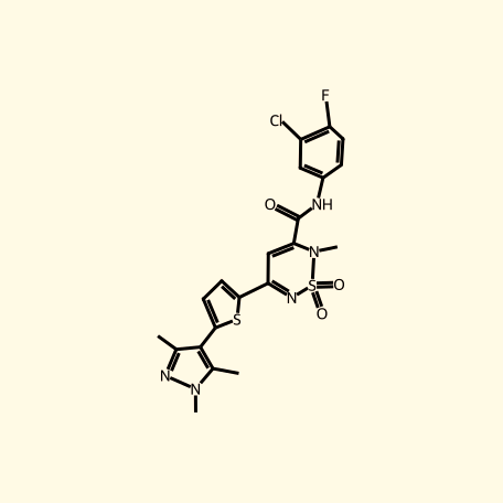 Cc1nn(C)c(C)c1-c1ccc(C2=NS(=O)(=O)N(C)C(C(=O)Nc3ccc(F)c(Cl)c3)=C2)s1